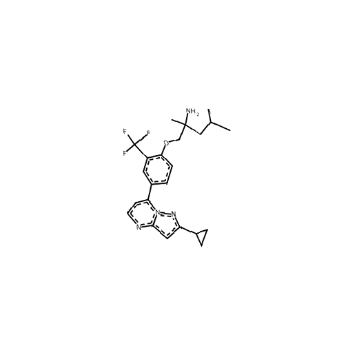 CC(C)CC(C)(N)COc1ccc(-c2ccnc3cc(C4CC4)nn23)cc1C(F)(F)F